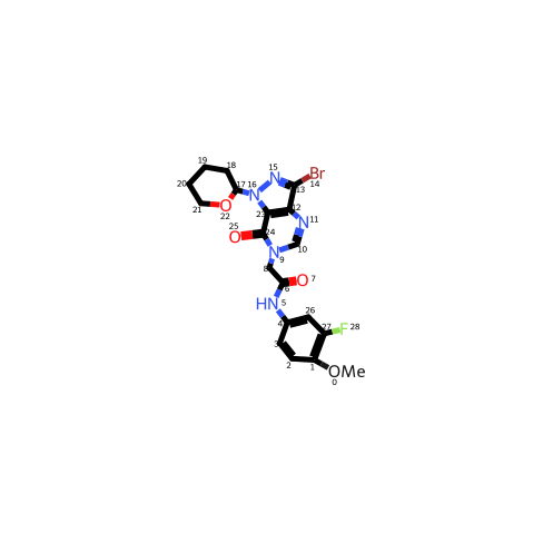 COc1ccc(NC(=O)Cn2cnc3c(Br)nn(C4CCCCO4)c3c2=O)cc1F